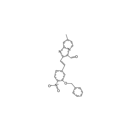 Cc1ccn2c(C=O)c(/C=C/c3ccc([N+](=O)[O-])c(OCc4ccccc4)c3)nc2c1